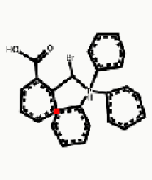 O=C(O)c1ccccc1C(Br)[PH](c1ccccc1)(c1ccccc1)c1ccccc1